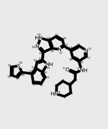 O=C(CC1CCNCC1)Nc1cncc(-c2ccc3[nH]nc(-c4cc5c(-c6cccs6)cccc5[nH]4)c3n2)c1